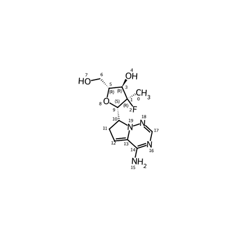 C[C@@]1(F)[C@H](O)[C@@H](CO)O[C@H]1C1CC=C2C(N)=NC=NN21